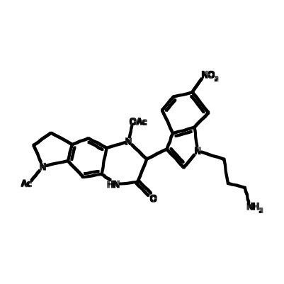 CC(=O)ON1c2cc3c(cc2NC(=O)C1c1cn(CCCN)c2cc([N+](=O)[O-])ccc12)N(C(C)=O)CC3